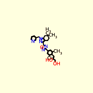 Cc1cc(-c2noc(-c3nn(Cc4cccnc4)c4c3CCC(C)(C)C4)n2)cc(C)c1CC(O)CO